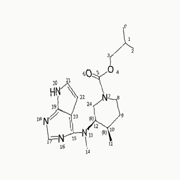 CC(C)COC(=O)N1CC[C@@H](C)[C@@H](N(C)c2ncnc3[nH]ccc23)C1